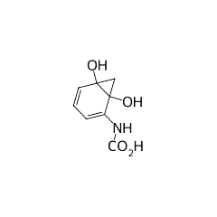 O=C(O)NC1=CC=CC2(O)CC12O